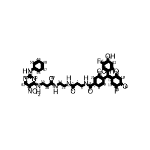 O=C(CCNC(=O)c1ccc(-c2c3cc(F)c(=O)cc-3oc3cc(O)c(F)cc23)c(C(=O)O)c1)NCCNC(=O)CCNc1nc(Nc2ccccc2)ncc1[N+](=O)[O-]